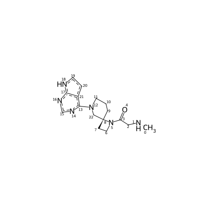 CNCC(=O)N1CC[C@@]12CCCN(c1ncnc3[nH]ccc13)C2